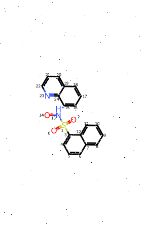 O=S(=O)(c1cccc2ccccc12)[NH+]([O-])c1cccc2cccnc12